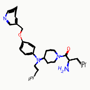 CC(C)CCN(c1ccc(OCc2cccnc2)cc1)C1CCN(C(=O)C(N)CC(C)C)CC1